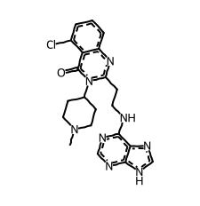 CN1CCC(n2c(CCNc3ncnc4[nH]cnc34)nc3cccc(Cl)c3c2=O)CC1